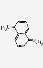 C=c1cccc2c(=C)cccc12